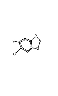 Clc1cc2c(cc1I)OCO2